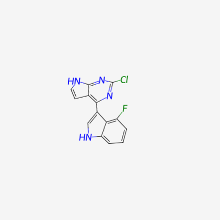 Fc1cccc2[nH]cc(-c3nc(Cl)nc4[nH]ccc34)c12